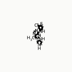 Cc1nc(NC2CCNCC2)nc2c(Nc3ccc(F)c(Cl)c3)ncnc12